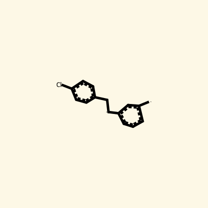 [CH2]c1cccc([CH]Cc2ccc(Cl)cc2)c1